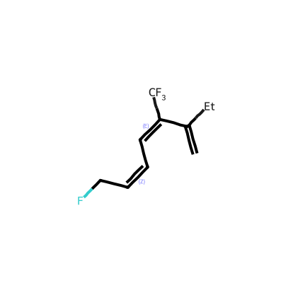 C=C(CC)/C(=C\C=C/CF)C(F)(F)F